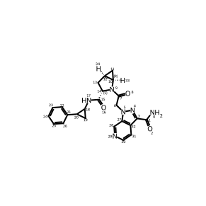 NC(=O)c1nn(CC(=O)N2[C@@H]3C[C@@H]3C[C@H]2C(=O)NC2CC2c2ccccc2)c2cnccc12